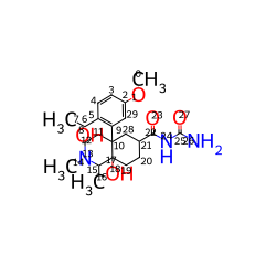 COc1ccc(C(C)O)c(C23CCN(C)C(C)C2(O)CCC(C(=O)NC(N)=O)C3)c1